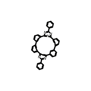 c1ccc(-c2nc3cc(n2)c2cccc(c2)c2cccc(c2)c2nc(-c4ccccc4)nc(n2)c2cccc(c2)c2cccc3c2)cc1